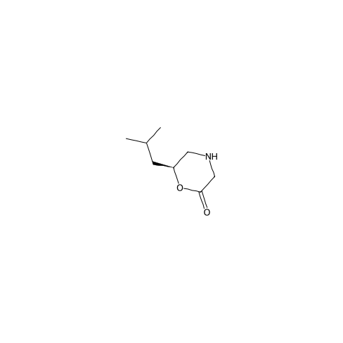 CC(C)C[C@H]1CNCC(=O)O1